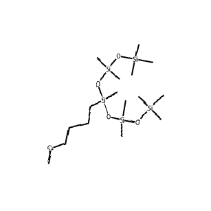 COCCCC[Si](C)(O[Si](C)(C)O[Si](C)(C)C)O[Si](C)(C)O[Si](C)(C)C